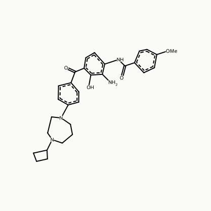 COc1ccc(C(=O)Nc2ccc(C(=O)c3ccc(N4CCCN(C5CCC5)CC4)cc3)c(O)c2N)cc1